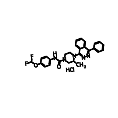 CC1CN(C(=O)Nc2ccc(OC(F)F)cc2)CCN1c1nnc(-c2ccccc2)c2ccccc12.Cl